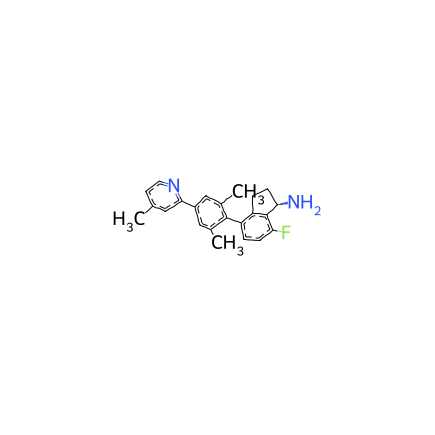 Cc1ccnc(-c2cc(C)c(-c3ccc(F)c4c3CC[C@H]4N)c(C)c2)c1